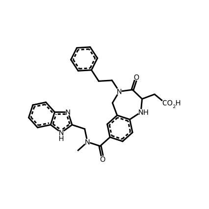 CN(Cc1nc2ccccc2[nH]1)C(=O)c1ccc2c(c1)CN(CCc1ccccc1)C(=O)C(CC(=O)O)N2